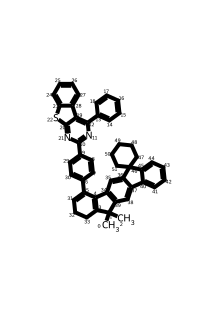 CC1(C)C2=C(C(c3ccc(-c4nc(-c5ccccc5)c5c(n4)sc4ccccc45)cc3)=CCC2)c2cc3c(cc21)-c1ccccc1C31CCCCC1